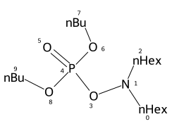 CCCCCCN(CCCCCC)OP(=O)(OCCCC)OCCCC